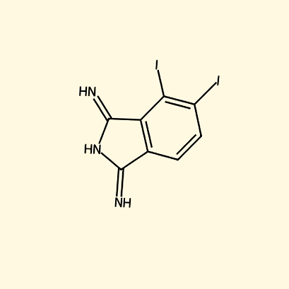 N=C1NC(=N)c2c1ccc(I)c2I